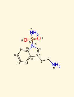 NCCc1cn(S(N)(=O)=O)c2ccccc12